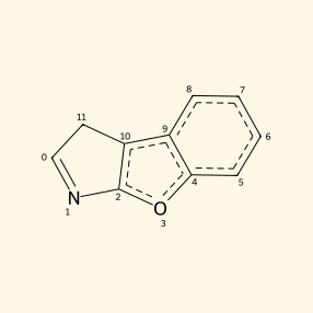 C1=Nc2oc3ccccc3c2C1